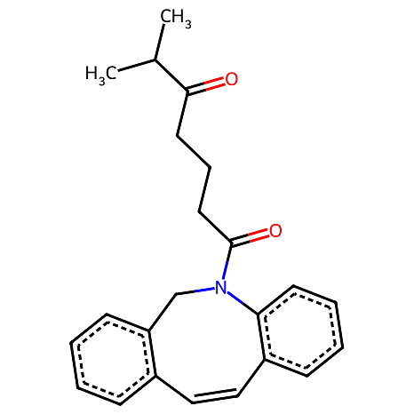 CC(C)C(=O)CCCC(=O)N1Cc2ccccc2/C=C\c2ccccc21